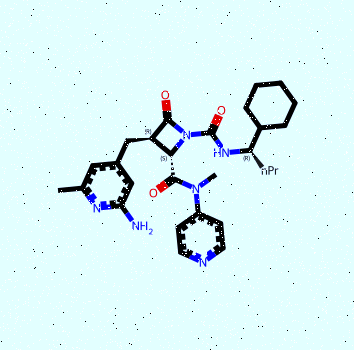 CCC[C@@H](NC(=O)N1C(=O)[C@H](Cc2cc(C)nc(N)c2)[C@H]1C(=O)N(C)c1ccncc1)C1CCCCC1